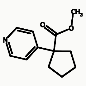 COC(=O)C1(c2ccncc2)CCCC1